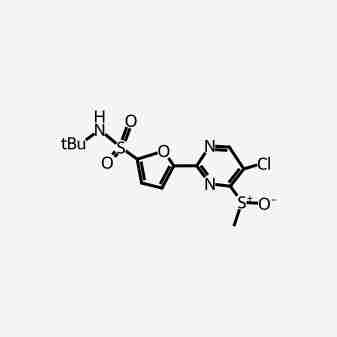 C[S+]([O-])c1nc(-c2ccc(S(=O)(=O)NC(C)(C)C)o2)ncc1Cl